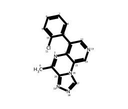 Cc1nc2c(-c3ccccc3Cl)cncc2n2cnnc12